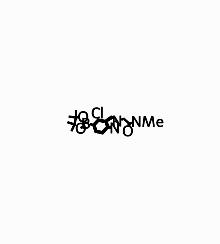 CNC(=O)Cn1cc2c(Cl)c(B3OC(C)(C)C(C)(C)O3)ccc2n1